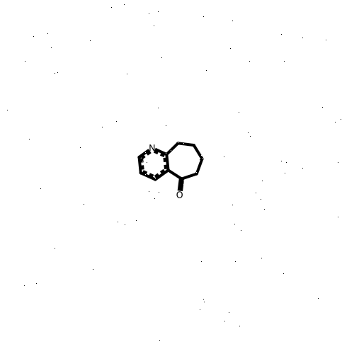 O=C1CCCCc2ncccc21